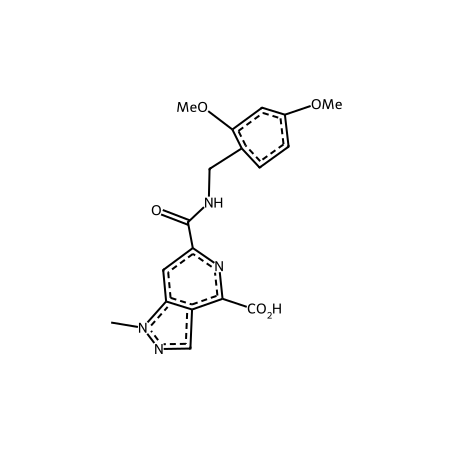 COc1ccc(CNC(=O)c2cc3c(cnn3C)c(C(=O)O)n2)c(OC)c1